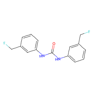 O=C(Nc1cccc(CF)c1)Nc1cccc(CF)c1